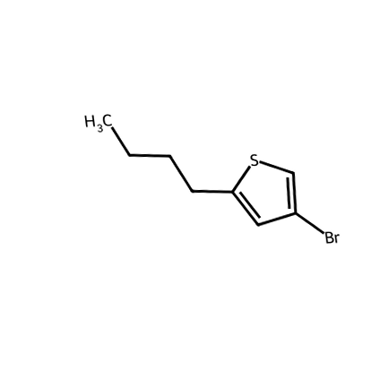 CCCCc1cc(Br)cs1